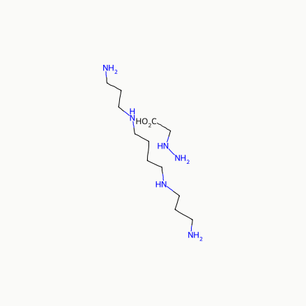 NCCCNCCCCNCCCN.NNCC(=O)O